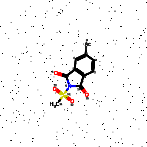 CC(=O)c1ccc2c(c1)C(=O)N(S(C)(=O)=O)C2=O